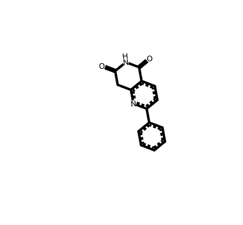 O=C1Cc2nc(-c3ccccc3)ccc2C(=O)N1